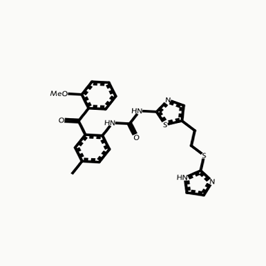 COc1ccccc1C(=O)c1cc(C)ccc1NC(=O)Nc1ncc(CCSc2ncc[nH]2)s1